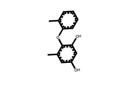 Cc1ccccc1Oc1c(C)cc(O)cc1O